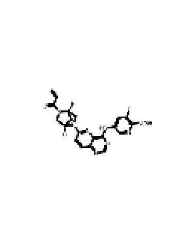 C=CC(=O)N1C[C@@H]2C[C@H]1CN2c1ccc2ncnc(Nc3cnc(OC)c(Cl)c3)c2n1